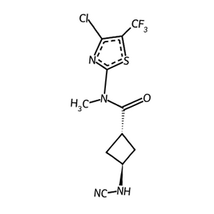 CN(c1nc(Cl)c(C(F)(F)F)s1)C(=O)[C@H]1C[C@H](NC#N)C1